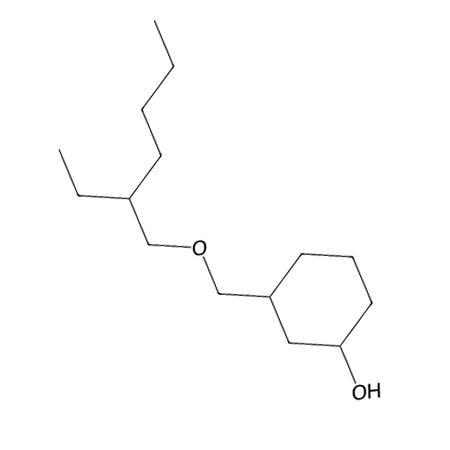 CCCCC(CC)COCC1CCCC(O)C1